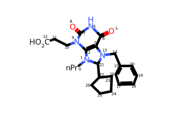 CCCN1c2c(c(=O)[nH]c(=O)n2CCC(=O)O)N(Cc2ccccc2)C1C1CCCC1